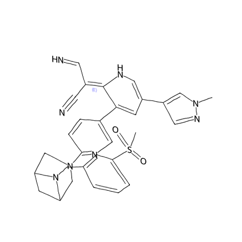 Cn1cc(C2=CN/C(=C(/C#N)C=N)C(c3ccc(N4CC5CC(C4)N5Cc4cccc(S(C)(=O)=O)c4)nc3)=C2)cn1